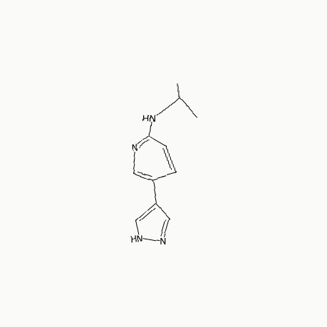 CC(C)Nc1ccc(-c2cn[nH]c2)cn1